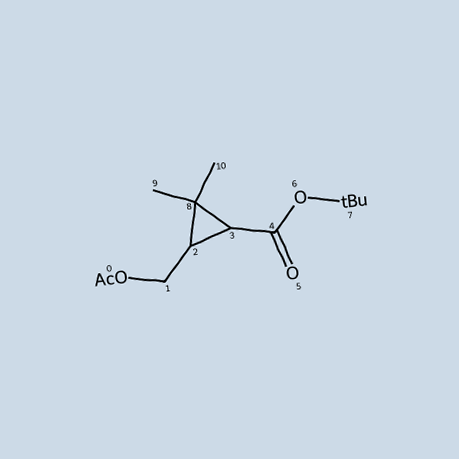 CC(=O)OCC1C(C(=O)OC(C)(C)C)C1(C)C